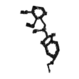 COc1c(O[13CH3])ccnc1C[S+]([O-])c1nc2cc(OCF)ccc2[nH]1